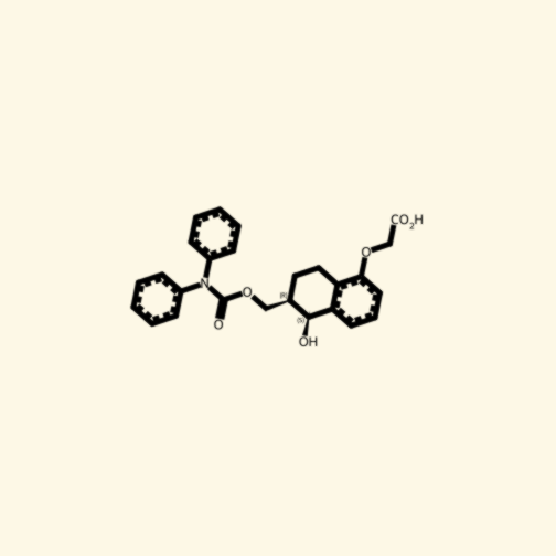 O=C(O)COc1cccc2c1CC[C@H](COC(=O)N(c1ccccc1)c1ccccc1)[C@@H]2O